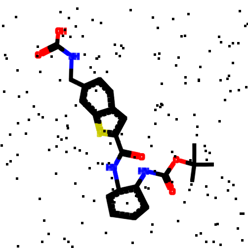 CC(C)(C)OC(=O)Nc1ccccc1NC(=O)c1cc2ccc(CNC(=O)O)cc2s1